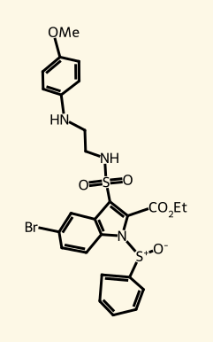 CCOC(=O)c1c(S(=O)(=O)NCCNc2ccc(OC)cc2)c2cc(Br)ccc2n1[S+]([O-])c1ccccc1